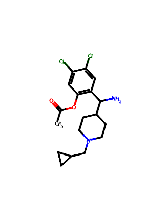 NC(c1cc(Cl)c(Cl)cc1OC(=O)C(F)(F)F)C1CCN(CC2CC2)CC1